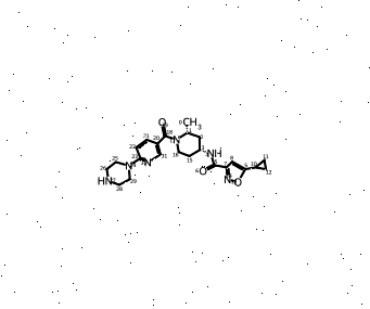 C[C@@H]1C[C@H](NC(=O)c2cc(C3CC3)on2)CCN1C(=O)c1ccc(N2CCNCC2)nc1